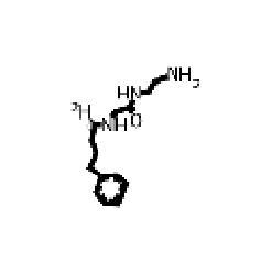 [2H][C@H](CCCc1ccccc1)NCC(=O)NCCN